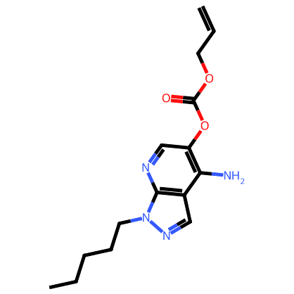 C=CCOC(=O)Oc1cnc2c(cnn2CCCCC)c1N